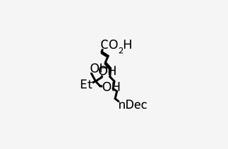 CCC(CO)(CO)CO.CCCCCCCCCCCCCCCC=CC=CC(=O)O